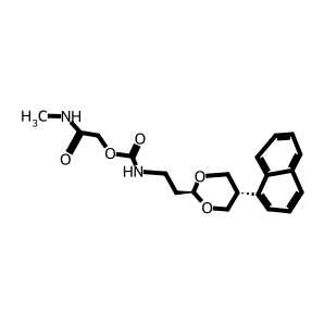 CNC(=O)COC(=O)NCC[C@H]1OC[C@H](c2cccc3ccccc32)CO1